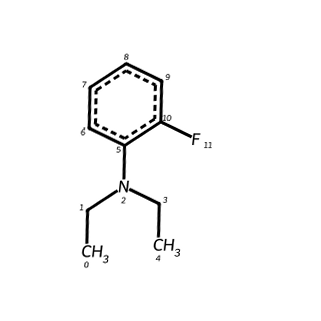 CCN(CC)c1[c]cccc1F